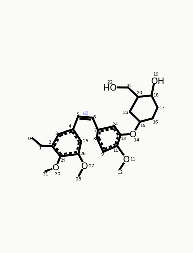 CCc1cc(/C=C\c2ccc(OC)c(OC3CCC(O)C(CO)C3)c2)cc(OC)c1OC